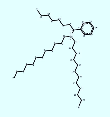 CCCCCCCCCCCC[SiH](CCCCCCCCCCCC)C(CCCCCCC)c1ccccc1